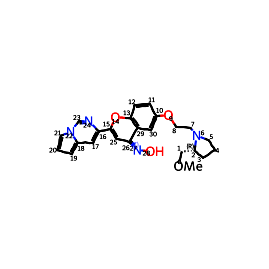 COC[C@H]1CCCN1CCOc1ccc2oc(-c3cc4cccn4cn3)c/c(=N/O)c2c1